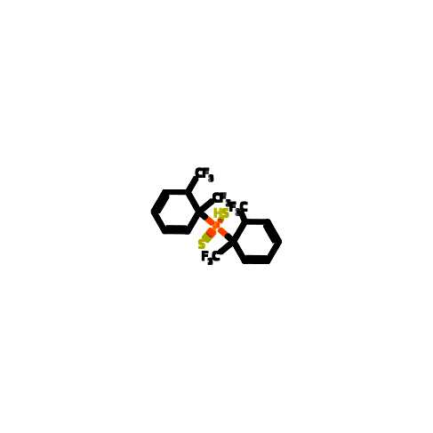 FC(F)(F)C1C=CC=CC1(C(F)(F)F)P(=S)(S)C1(C(F)(F)F)C=CC=CC1C(F)(F)F